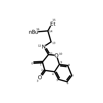 C=C1C(=O)c2ccccc2O/C1=N\CC(CC)CCCC